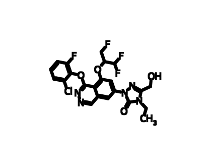 CCn1c(CO)nn(-c2cc(OC(CF)C(F)F)c3c(Oc4c(F)cccc4Cl)nncc3c2)c1=O